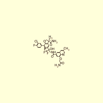 Cc1cnc2c(OCC(N)=O)cc(C(=O)NCC(O)(c3cc4c(c(-c5ccc(F)c(Cl)c5)n3)OC[C@]4(C)C(N)=O)C(F)(F)F)cc2c1